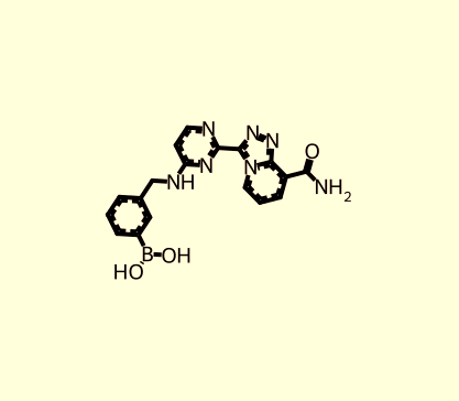 NC(=O)c1cccn2c(-c3nccc(NCc4cccc(B(O)O)c4)n3)nnc12